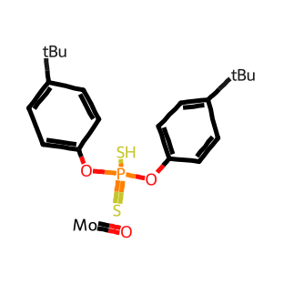 CC(C)(C)c1ccc(OP(=S)(S)Oc2ccc(C(C)(C)C)cc2)cc1.[O]=[Mo]